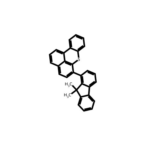 CC1(C)c2ccccc2-c2cccc(-c3ccc4cccc5c4c3Sc3ccccc3-5)c21